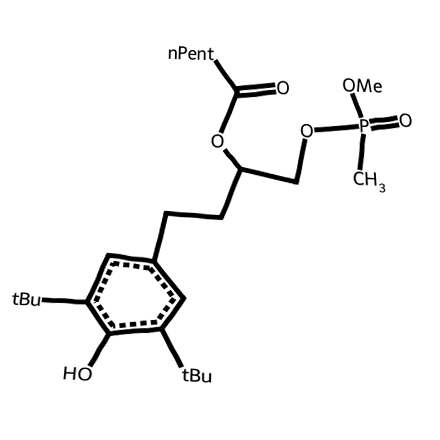 CCCCCC(=O)OC(CCc1cc(C(C)(C)C)c(O)c(C(C)(C)C)c1)COP(C)(=O)OC